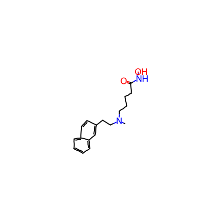 CN(CCCCC(=O)NO)CCc1ccc2ccccc2c1